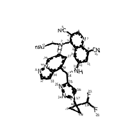 CC(C)(C)CNc1c(C#N)cnc2c(C#N)cc(N[C@H](c3cn(C4(C(F)F)CC4)nn3)c3cccn4nccc34)cc12